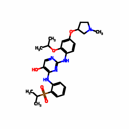 CC(C)Oc1cc(OC2CCN(C)C2)ccc1Nc1ncc(O)c(Nc2ccccc2S(=O)(=O)C(C)C)n1